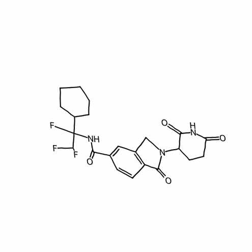 O=C1CCC(N2Cc3cc(C(=O)NC(F)(C(F)F)C4CCCCC4)ccc3C2=O)C(=O)N1